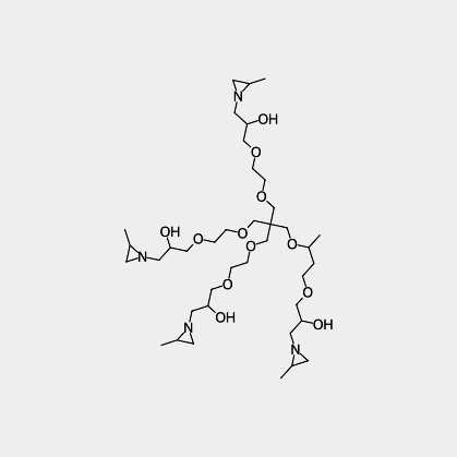 CC(CCOCC(O)CN1CC1C)OCC(COCCOCC(O)CN1CC1C)(COCCOCC(O)CN1CC1C)COCCOCC(O)CN1CC1C